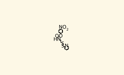 O=C(NCCSSc1ccccn1)Oc1ccc([N+](=O)[O-])cc1